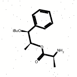 CC(C)CO[C@@H](c1ccccc1)[C@H](C)OC(=O)[C@H](C)N